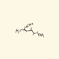 CC(=CCCCO)CO